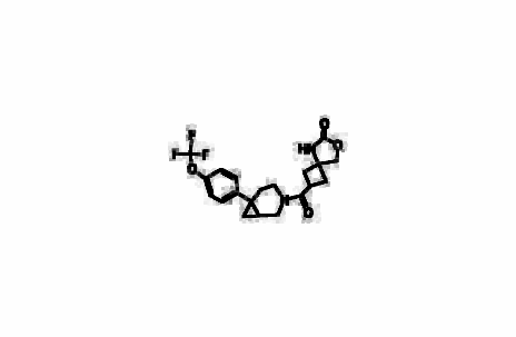 O=C1NC2(CO1)CC(C(=O)N1CCC3(c4ccc(OC(F)(F)F)cc4)CC3C1)C2